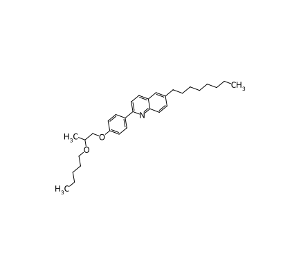 CCCCCCCCc1ccc2nc(-c3ccc(OCC(C)OCCCCC)cc3)ccc2c1